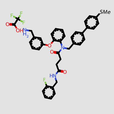 CSc1ccc(-c2ccc(CN(C(=O)CCC(=O)NCc3ccccc3F)c3ccccc3Oc3cccc(CN)c3)cc2)cc1.O=C(O)C(F)(F)F